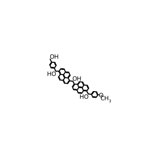 COc1ccc(C(O)c2ccc3ccc4c(C(O)c5ccc6ccc7c(C(O)c8ccc(CO)cc8)ccc8ccc5c6c87)ccc5ccc2c3c54)cc1